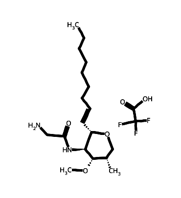 CCCCCCCC=C[C@@H]1OC[C@H](C)[C@H](OC)[C@H]1NC(=O)CN.O=C(O)C(F)(F)F